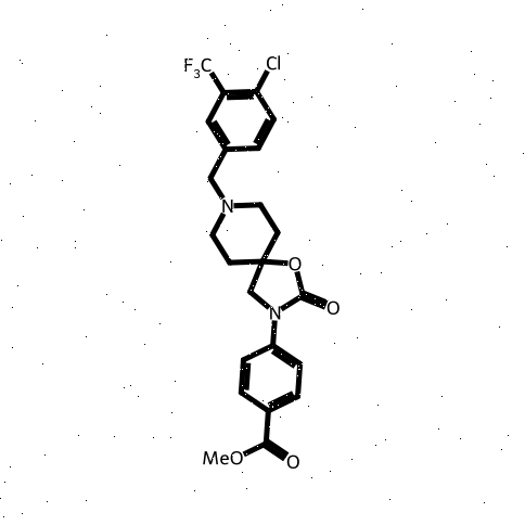 COC(=O)c1ccc(N2CC3(CCN(Cc4ccc(Cl)c(C(F)(F)F)c4)CC3)OC2=O)cc1